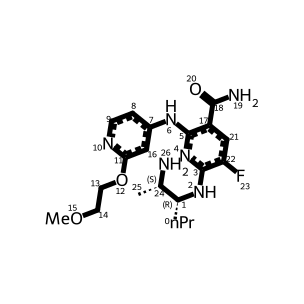 CCC[C@@H](Nc1nc(Nc2ccnc(OCCOC)c2)c(C(N)=O)cc1F)[C@H](C)N